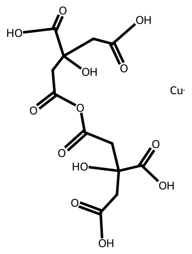 O=C(O)CC(O)(CC(=O)OC(=O)CC(O)(CC(=O)O)C(=O)O)C(=O)O.[Cu]